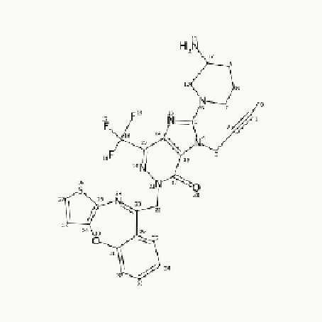 CC#CCn1c(N2CCCC(N)C2)nc2c(C(F)(F)F)nn(CC3=Nc4sccc4Oc4ccccc43)c(=O)c21